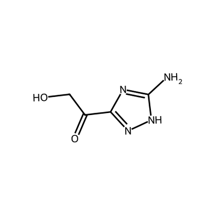 Nc1nc(C(=O)CO)n[nH]1